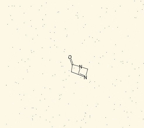 O=C1CC2=NCN12